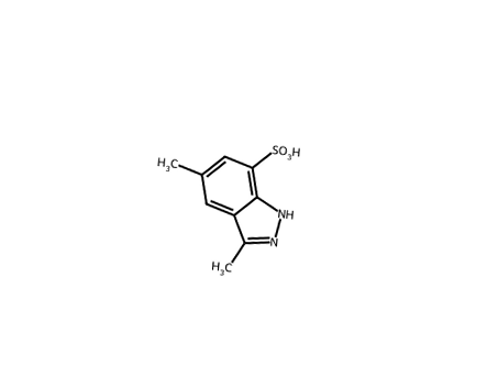 Cc1cc(S(=O)(=O)O)c2[nH]nc(C)c2c1